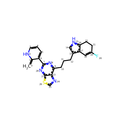 C=C1NC=CC=C1c1nc(CCCc2c[nH]c3c2C=C(F)CC3)c2ncsc2n1